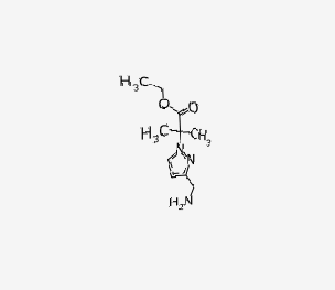 CCOC(=O)C(C)(C)n1ccc(CN)n1